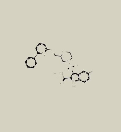 NC(=O)c1[nH]c2ccc(Cl)cc2c1S(=O)(=O)N1CCOC(COc2cccc(-c3ccccc3)n2)C1